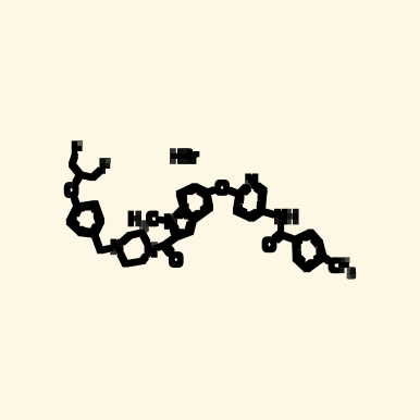 Br.Cn1c(C(=O)N2CCN(Cc3ccc(OC(CF)CF)cc3)CC2)cc2cc(Oc3ccc(NC(=O)c4ccc(C(F)(F)F)cc4)cn3)ccc21